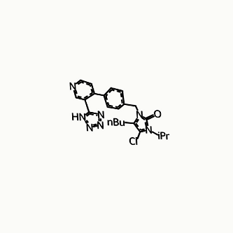 CCCCc1c(Cl)n(C(C)C)c(=O)n1Cc1ccc(-c2ccncc2-c2nnn[nH]2)cc1